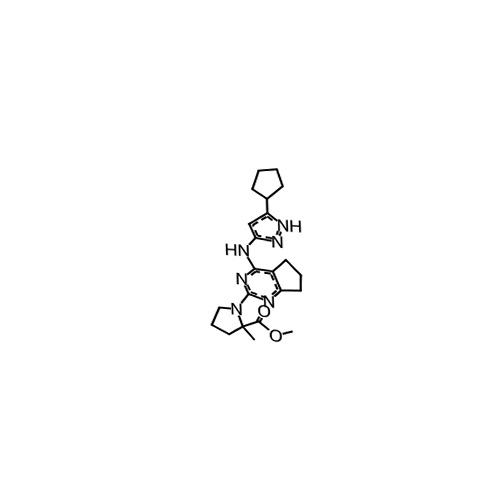 COC(=O)C1(C)CCCN1c1nc2c(c(Nc3cc(C4CCCC4)[nH]n3)n1)CCC2